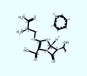 CC(O)[C@H]1C(=O)N2C(C(=O)O)=C(SC[C@@H](N)C(N)=O)S[C@H]12.c1ccncc1